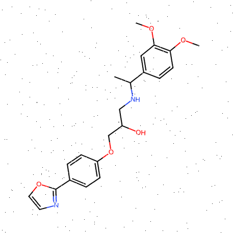 COc1ccc(C(C)NCC(O)COc2ccc(-c3ncco3)cc2)cc1OC